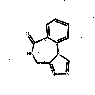 O=C1NCc2nncn2-c2ccccc21